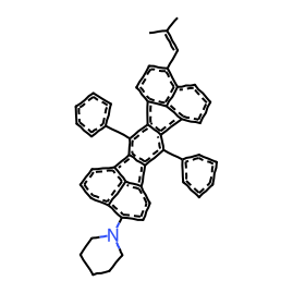 CC(C)=Cc1ccc2c3c(-c4ccccc4)c4c5cccc6c(N7CCCCC7)ccc(c4c(-c4ccccc4)c3c3cccc1c23)c65